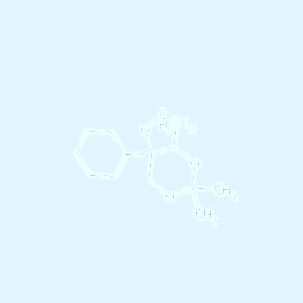 COC1(C2CCCCC2)COC(C)(C)OC1C